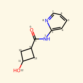 O=C(Nc1ccccn1)C1CC(O)C1